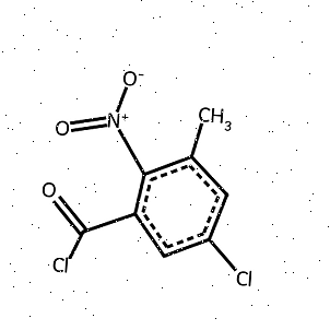 Cc1cc(Cl)cc(C(=O)Cl)c1[N+](=O)[O-]